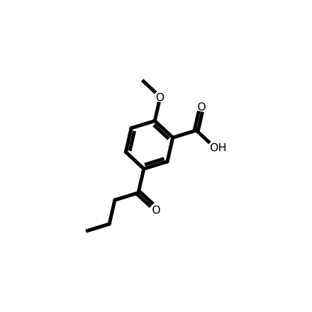 CCCC(=O)c1ccc(OC)c(C(=O)O)c1